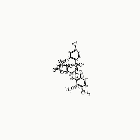 COc1cc(Cl)ccc1S(=O)(=O)N[C@@H](Cc1c(F)ccc(C)c1C)c1n[nH]c(=O)o1